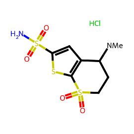 CNC1CCS(=O)(=O)c2sc(S(N)(=O)=O)cc21.Cl